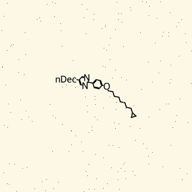 CCCCCCCCCCc1cnc(-c2ccc(OCCCCCCCCC3CC3)cc2)nc1